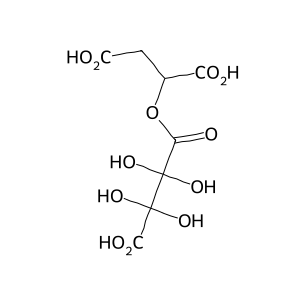 O=C(O)CC(OC(=O)C(O)(O)C(O)(O)C(=O)O)C(=O)O